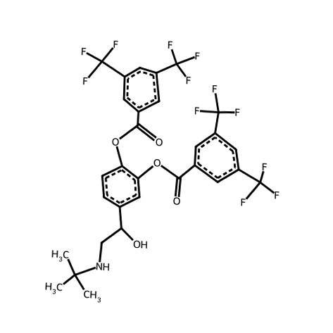 CC(C)(C)NCC(O)c1ccc(OC(=O)c2cc(C(F)(F)F)cc(C(F)(F)F)c2)c(OC(=O)c2cc(C(F)(F)F)cc(C(F)(F)F)c2)c1